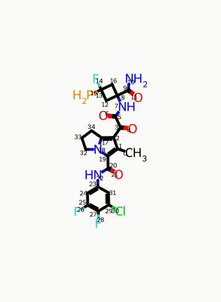 Cc1c(C(=O)C(=O)NC2(C(N)=O)CC(F)(P)C2)c2n(c1C(=O)Nc1cc(F)c(F)c(Cl)c1)CCC2